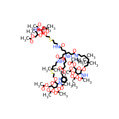 CC(=O)NC(OC(C)=O)C(OCCSCCCNC(=O)CCC(CCC(=O)NCCCC(C)(C)CC(C)(C)CCOC1OC(COC(C)=O)C(OC(C)=O)C(OC(C)=O)C1NC(C)=O)(CCC(=O)NCCCC(C)(C)SCCOC1OC(COC(C)=O)C(OC(C)=O)C(OC(C)=O)C1NC(C)=O)NC(=O)CCCC(=O)OCc1ccccc1)OC(COC(C)=O)C(C)OC(C)=O